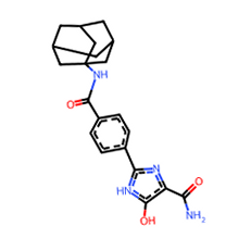 NC(=O)c1nc(-c2ccc(C(=O)NC34CC5CC(CC(C5)C3)C4)cc2)[nH]c1O